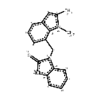 Cc1cc2cccc(Cn3c(=O)[nH]c4ccccc43)c2n1C